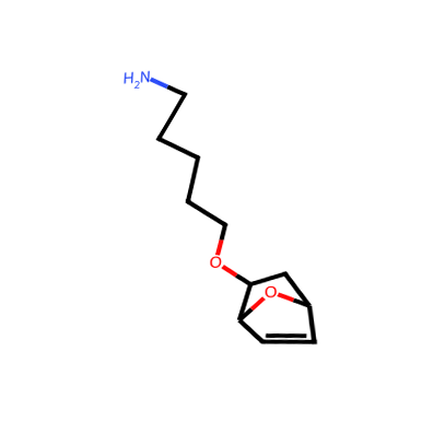 NCCCCCOC1CC2C=CC1O2